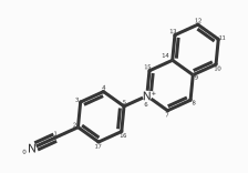 N#Cc1ccc(-[n+]2ccc3ccccc3c2)cc1